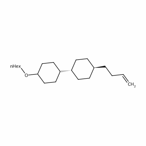 C=CCC[C@H]1CC[C@H](C2CCC(OCCCCCC)CC2)CC1